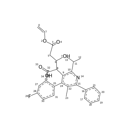 C=COC(=O)CC(O)C(c1c(C(C)C)nc(-c2ccccc2)c(C)c1-c1ccc(F)cc1)[PH](=O)O